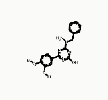 CCOc1ccc(-c2nc(O)nc(N(N)Cc3ccccc3)n2)cc1OCC